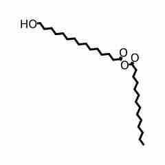 CCCCCCCCCCCCCC(=O)OC(=O)CCCCCCCCCCCCCCO